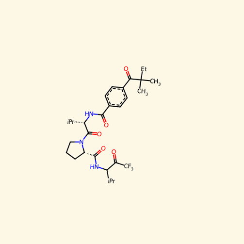 CCC(C)(C)C(=O)c1ccc(C(=O)N[C@H](C(=O)N2CCC[C@H]2C(=O)NC(C(=O)C(F)(F)F)C(C)C)C(C)C)cc1